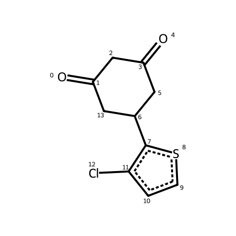 O=C1CC(=O)CC(c2sccc2Cl)C1